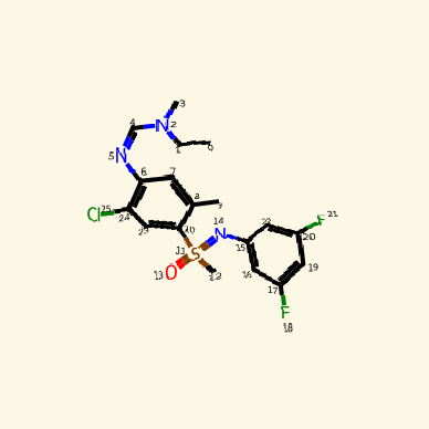 CCN(C)/C=N\c1cc(C)c(S(C)(=O)=Nc2cc(F)cc(F)c2)cc1Cl